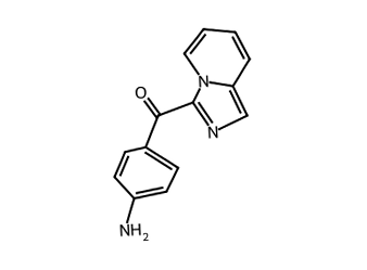 Nc1ccc(C(=O)c2ncc3ccccn23)cc1